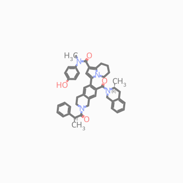 C[C@@H]1Cc2ccccc2CN1C(=O)c1cc2c(cc1-c1cc(C(=O)N(C)c3ccc(O)cc3)c3n1CCCC3)CCN(C(=O)[C@H](C)c1ccccc1)C2